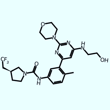 Cc1ccc(NC(=O)N2CC[C@@H](CC(F)(F)F)C2)cc1-c1cc(NCCO)nc(N2CCOCC2)n1